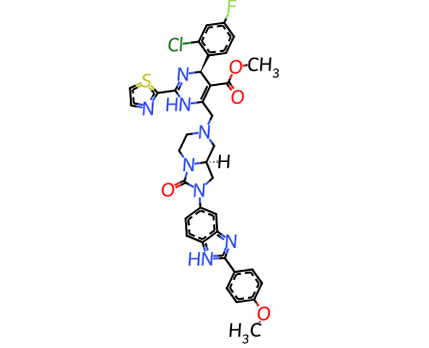 COC(=O)C1=C(CN2CCN3C(=O)N(c4ccc5[nH]c(-c6ccc(OC)cc6)nc5c4)C[C@@H]3C2)NC(c2nccs2)=N[C@H]1c1ccc(F)cc1Cl